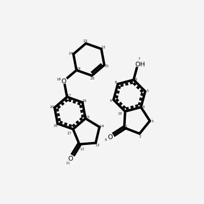 O=C1CCc2cc(O)ccc21.O=C1CCc2cc(OC3C=CCCC3)ccc21